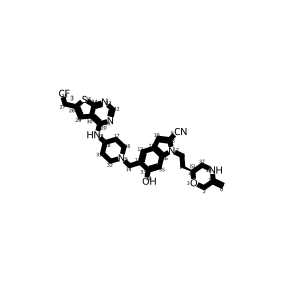 C=C1CO[C@@H](CCn2c(C#N)cc3cc(CN4CCC(Nc5ncnc6sc(CC(F)(F)F)cc56)CC4)c(O)cc32)CN1